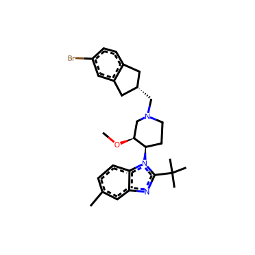 CO[C@H]1CN(C[C@H]2Cc3ccc(Br)cc3C2)CC[C@H]1n1c(C(C)(C)C)nc2cc(C)ccc21